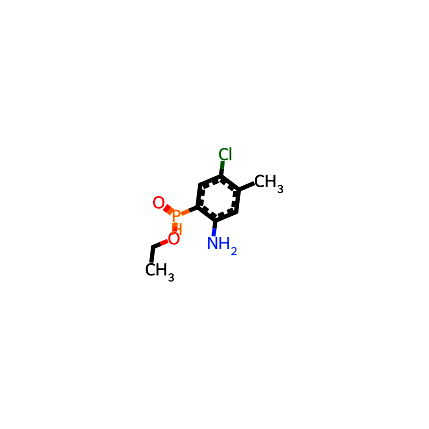 CCO[PH](=O)c1cc(Cl)c(C)cc1N